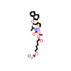 CC(C[C@H](Oc1cccc2ccccc12)c1cccs1)NC(=O)OC(C)OC(=O)CCCCCO[N+](=O)[O-]